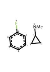 CNC1CC1.Fc1ccccc1